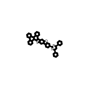 c1ccc(-c2cc(-c3ccccc3)nc(-c3ccc4c(c3)oc3cc5c(cc34)sc3c5c4ccccc4c4c5ccccc5c5ccccc5c34)n2)cc1